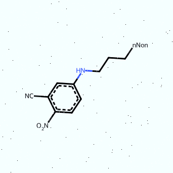 CCCCCCCCCCCCNc1ccc([N+](=O)[O-])c(C#N)c1